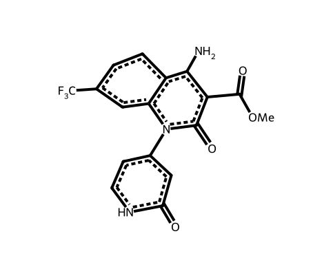 COC(=O)c1c(N)c2ccc(C(F)(F)F)cc2n(-c2cc[nH]c(=O)c2)c1=O